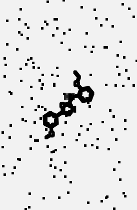 CCOc1ccccc1Nc1ncc(-c2cccc(OC)c2)o1